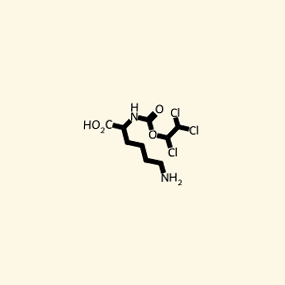 NCCCCC(NC(=O)OC(Cl)C(Cl)Cl)C(=O)O